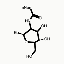 CCCCCCCCCC(=O)NC1C(O)[C@H](O)C(CO)O[C@H]1CC